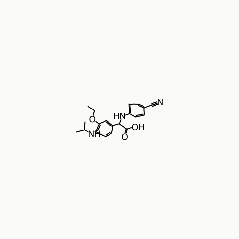 CCOc1cc(C(Nc2ccc(C#N)cc2)C(=O)O)ccc1NC(C)C